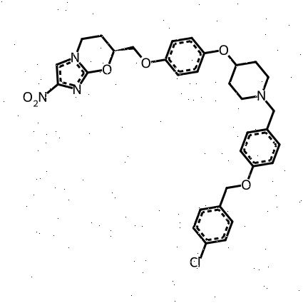 O=[N+]([O-])c1cn2c(n1)O[C@H](COc1ccc(OC3CCN(Cc4ccc(OCc5ccc(Cl)cc5)cc4)CC3)cc1)CC2